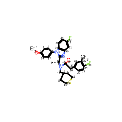 CCOc1ccc(-n2c([C@@H](C)N(CC3CCSCC3)C(=O)Cc3ccc(F)c(C(F)(F)F)c3)nc3cc(F)ccc32)cc1